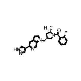 C[C@H]1C[C@H](Cn2ccc3cc(-c4cn[nH]c4)ncc32)CN1C(=O)c1ccccc1F